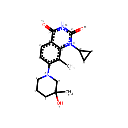 Cc1c(N2CCCC(C)(O)C2)ccc2c(=O)[nH]c(=O)n(C3CC3)c12